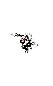 COCCCN1CCN(C(=O)c2cc3c(cc2C)[nH]c(=O)c2cnn(C4CCOCC4)c23)C[C@H]1C